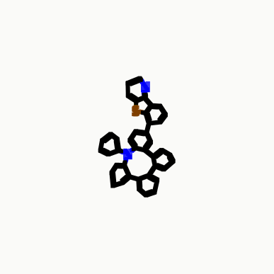 c1ccc(-n2c3ccccc3c3ccccc3c3ccccc3c3cc(-c4cccc5c4sc4cccnc45)ccc32)cc1